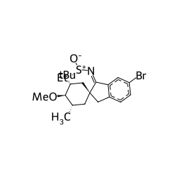 CC[C@@H]1C[C@@]2(Cc3ccc(Br)cc3/C2=N/[S@@+]([O-])C(C)(C)C)C[C@H](C)[C@H]1OC